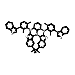 Cc1ccc(-c2csc3ccccc23)c(C)c1N1c2cccc3c2B(c2c1oc1ccc(C(C)(C)C)cc21)c1c(oc2ccc(C(C)(C)C)cc12)N3c1c(C)ccc(-c2csc3ccccc23)c1C